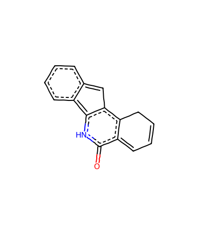 O=c1[nH]c2c(c3c1=CC=CC3)C=c1ccccc1=2